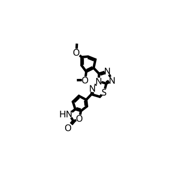 COc1ccc(-c2nnc3n2N=C(c2ccc4[nH]c(=O)oc4c2)CS3)c(OC)c1